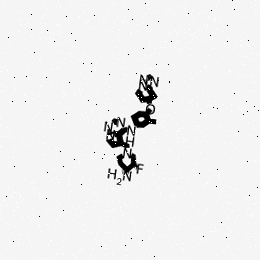 Cc1cc(Nc2ncnn3ccc(CN4CC[C@H](N)[C@H](F)C4)c23)ccc1Oc1ccn2ncnc2c1